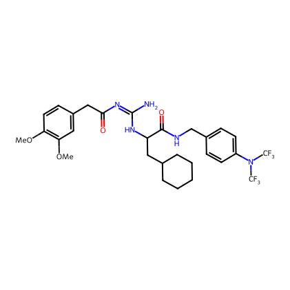 COc1ccc(CC(=O)N=C(N)NC(CC2CCCCC2)C(=O)NCc2ccc(N(C(F)(F)F)C(F)(F)F)cc2)cc1OC